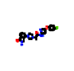 CC(C(=O)Nc1ccc(Oc2ccc(F)cc2)cn1)N1CCN(c2cccc3c2CNC3=O)CC1